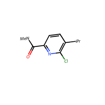 CNC(=O)c1ccc(C(C)C)c(Cl)n1